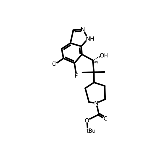 CC(C)(C)OC(=O)N1CCC(C(C)(C)[C@@H](O)c2c(F)c(Cl)cc3cn[nH]c23)CC1